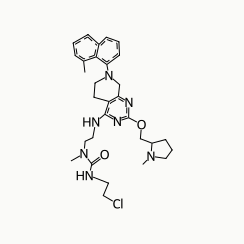 Cc1cccc2cccc(N3CCc4c(nc(OCC5CCCN5C)nc4NCCN(C)C(=O)NCCCl)C3)c12